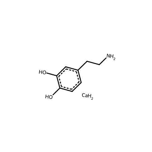 NCCc1ccc(O)c(O)c1.[CaH2]